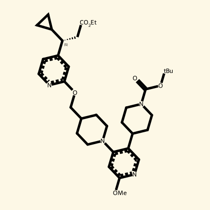 CCOC(=O)C[C@H](c1ccnc(OCC2CCN(c3cc(OC)ncc3C3CCN(C(=O)OC(C)(C)C)CC3)CC2)c1)C1CC1